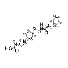 CN(C(=O)O)C1CCN(c2ccc(CCNC(=O)OCc3ccccc3)cc2)C1